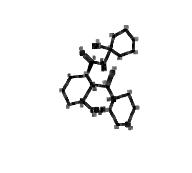 N#CC1(NC(=O)[C@@H]2CCCN(C(=O)O)N2C(=O)N2CCOCC2)CCCCC1